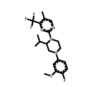 CSc1cc(N2CCN(c3ncc(C)c(C(F)(F)F)n3)C(C(C)C)C2)ccc1F